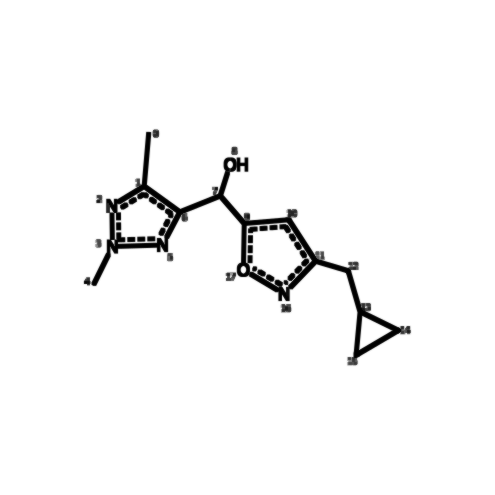 Cc1nn(C)nc1C(O)c1cc(CC2CC2)no1